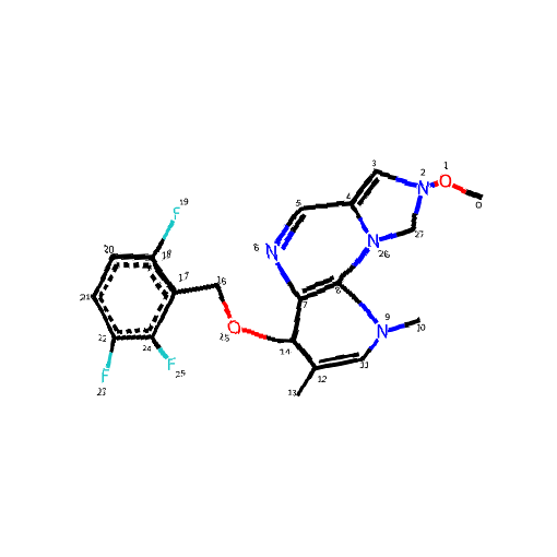 CON1C=C2C=NC3=C(N(C)C=C(C)C3OCc3c(F)ccc(F)c3F)N2C1